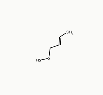 [SiH3]C=CCSS